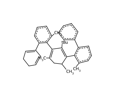 CC1=C(c2c(C)cccc2C2=CCCC=C2)C(C(C)(C)C)=C(c2c(C)cccc2-c2ccccc2)C(C)C1